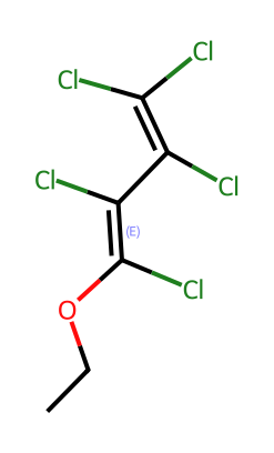 CCO/C(Cl)=C(\Cl)C(Cl)=C(Cl)Cl